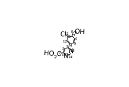 O=C(O)c1cc(-c2ccc(CO)c(Cl)c2)ncn1